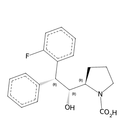 O=C(O)N1CCC[C@@H]1[C@H](O)[C@H](c1ccccc1)c1ccccc1F